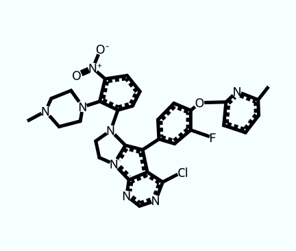 Cc1cccc(Oc2ccc(-c3c4n(c5ncnc(Cl)c35)CCN4c3cccc([N+](=O)[O-])c3N3CCN(C)CC3)cc2F)n1